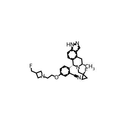 C[C@@H]1Cc2c(ccc3[nH]ncc23)[C@@H](c2ccc(OCCN3CC(CF)C3)cc2C#N)N1CC1(F)CC1